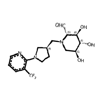 O=C[C@@H]1[C@@H](O)[C@H](O)[C@@H](O)CN1C[C@H]1CCN(c2ncccc2C(F)(F)F)C1